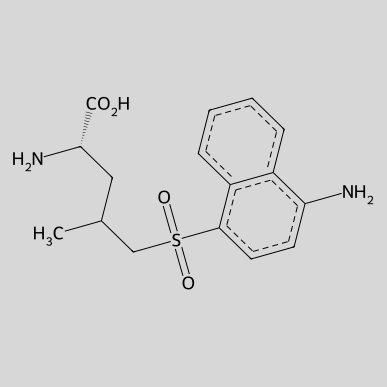 CC(C[C@H](N)C(=O)O)CS(=O)(=O)c1ccc(N)c2ccccc12